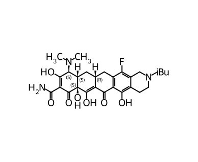 CCC(C)N1CCc2c(O)c3c(c(F)c2C1)C[C@H]1C[C@H]2[C@H](N(C)C)C(O)=C(C(N)=O)C(=O)[C@@]2(O)C(O)=C1C3=O